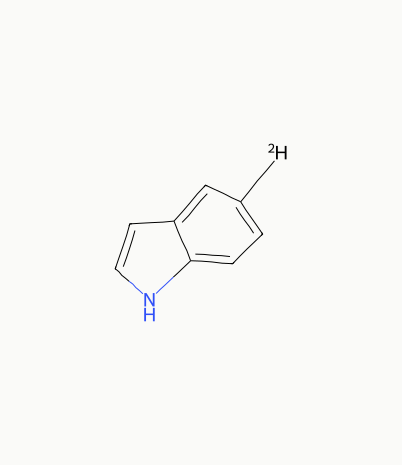 [2H]c1ccc2[nH]ccc2c1